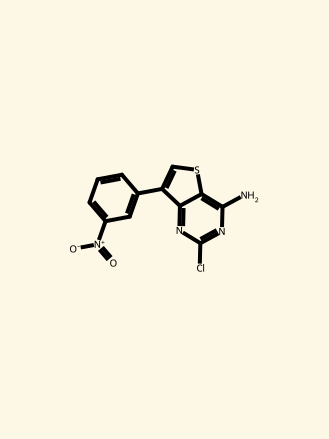 Nc1nc(Cl)nc2c(-c3cccc([N+](=O)[O-])c3)csc12